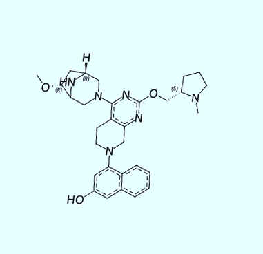 CO[C@@H]1C[C@@H]2CN(c3nc(OC[C@@H]4CCCN4C)nc4c3CCN(c3cc(O)cc5ccccc35)C4)CC1N2